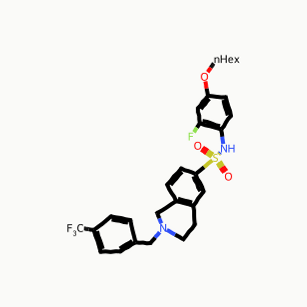 CCCCCCOc1ccc(NS(=O)(=O)c2ccc3c(c2)CCN(Cc2ccc(C(F)(F)F)cc2)C3)c(F)c1